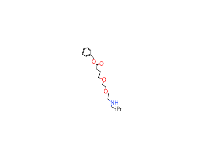 CC(C)CNCCOCCOCCCC(=O)OCc1ccccc1